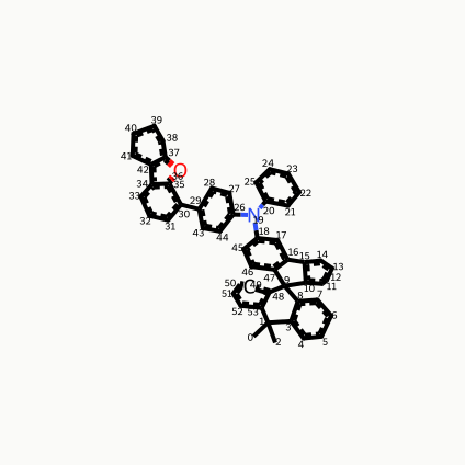 CC1(C)c2ccccc2C2(c3ccccc3-c3cc(N(c4ccccc4)c4ccc(-c5cccc6c5oc5ccccc56)cc4)ccc32)c2ccccc21